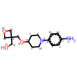 Nc1ccc(N2CCC(OCC3(CO)COC3)CC2)cc1